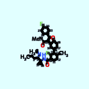 C=C/C=C(\N=C)C1(NC(=O)c2ccc(C)c(-c3ccc4oc(-c5ccc(F)cc5)c(C(=O)NC)c4c3)c2F)CC1